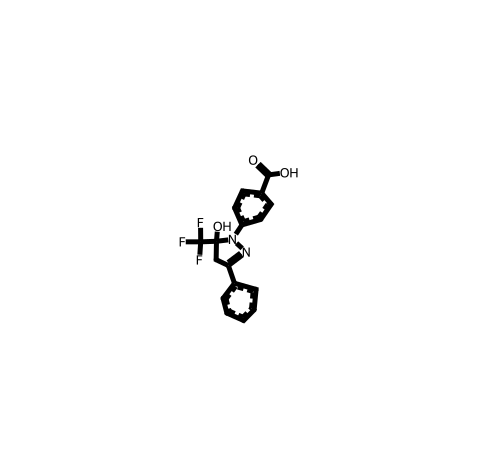 O=C(O)c1ccc(N2N=C(c3ccccc3)CC2(O)C(F)(F)F)cc1